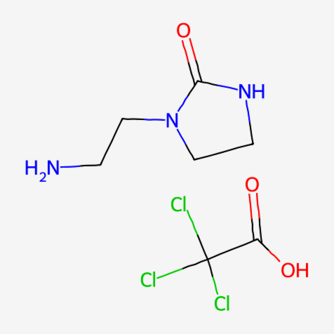 NCCN1CCNC1=O.O=C(O)C(Cl)(Cl)Cl